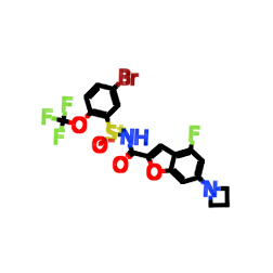 O=C(N[S+]([O-])c1cc(Br)ccc1OC(F)(F)F)c1cc2c(F)cc(N3CCC3)cc2o1